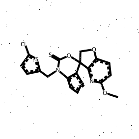 COc1ccc2c(n1)C1(CO2)OC(=S)N(Cc2ccc(Cl)s2)c2ccccc21